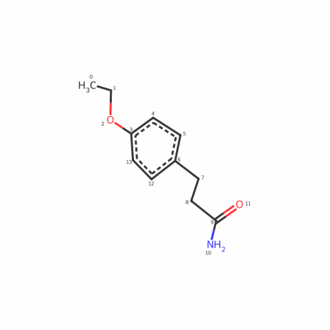 CCOc1ccc(CCC(N)=O)cc1